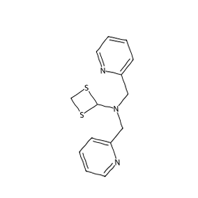 c1ccc(CN(Cc2ccccn2)C2SCS2)nc1